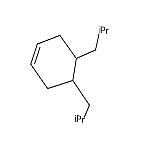 CC(C)CC1CC=CCC1CC(C)C